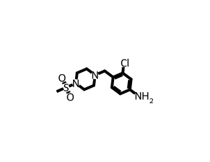 CS(=O)(=O)N1CCN(Cc2ccc(N)cc2Cl)CC1